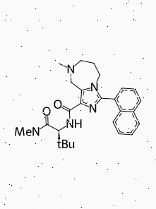 CNC(=O)[C@@H](NC(=O)c1nc(-c2cccc3ccccc23)n2c1CN(C)CCC2)C(C)(C)C